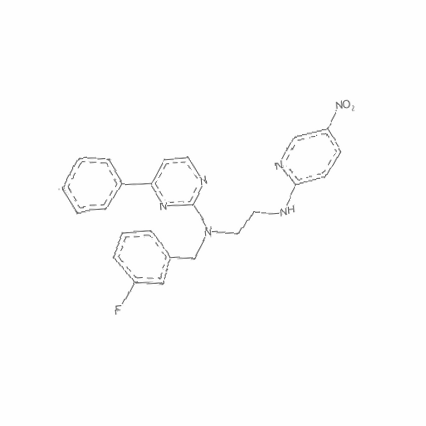 O=[N+]([O-])c1ccc(NCCN(Cc2cccc(F)c2)c2nccc(-c3cc[c]cc3)n2)nc1